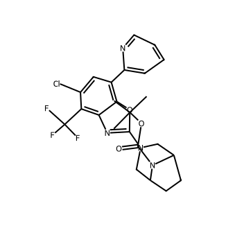 CC(C)(C)OC(=O)N1C2CCC1CN(c1nc3c(C(F)(F)F)c(Cl)cc(-c4ccccn4)c3o1)C2